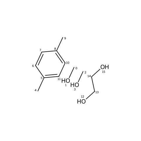 CO.CO.Cc1ccc(C)cc1.OCCO